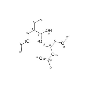 CCOCC(CC)C(=O)O.COCC(C)OC(C)=O